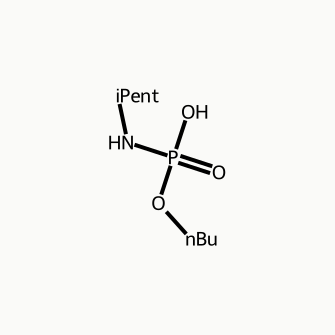 CCCCOP(=O)(O)NC(C)CCC